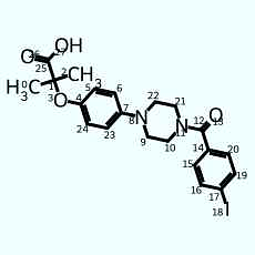 CC(C)(Oc1ccc(N2CCN(C(=O)c3ccc(I)cc3)CC2)cc1)C(=O)O